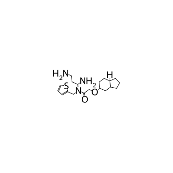 NCCC(N)N(Cc1cccs1)C(=O)COC1CC[C@H]2CCCC2C1